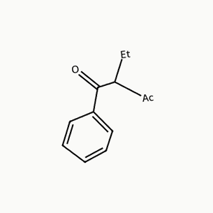 CCC(C(C)=O)C(=O)c1ccccc1